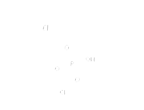 O=P(O)(OCl)OCCl